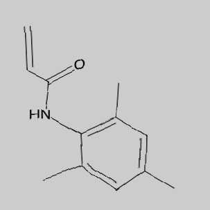 C=CC(=O)Nc1c(C)cc(C)cc1C